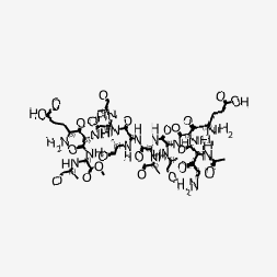 COC(=O)[C@@H](NC(=O)[C@@H](NC(=O)[C@@H](NC(=O)[C@@H](NC(=O)[C@@H](NC(=O)[C@@H](NC(=O)[C@@H](NC(=O)[C@@H](NC(C)=O)C(=O)CN)C(=O)[C@@H](N)CCC(=O)O)N[C@@H](C)C=O)N[C@@H](C)C=O)N[C@@H](C)C=O)N[C@@H](C)C=O)C(=O)[C@@H](N)CCC(=O)O)N[C@@H](C)C=O